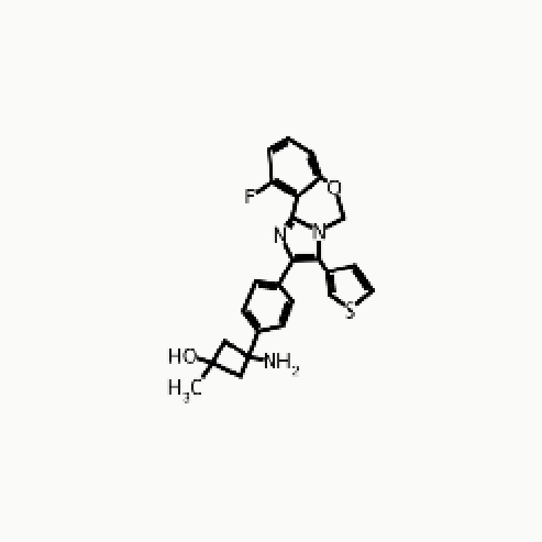 CC1(O)CC(N)(c2ccc(-c3nc4n(c3-c3ccsc3)COc3cccc(F)c3-4)cc2)C1